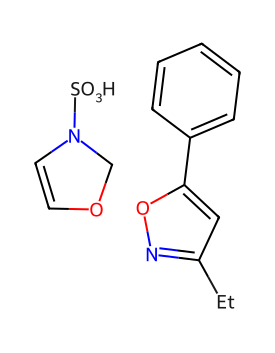 CCc1cc(-c2ccccc2)on1.O=S(=O)(O)N1C=COC1